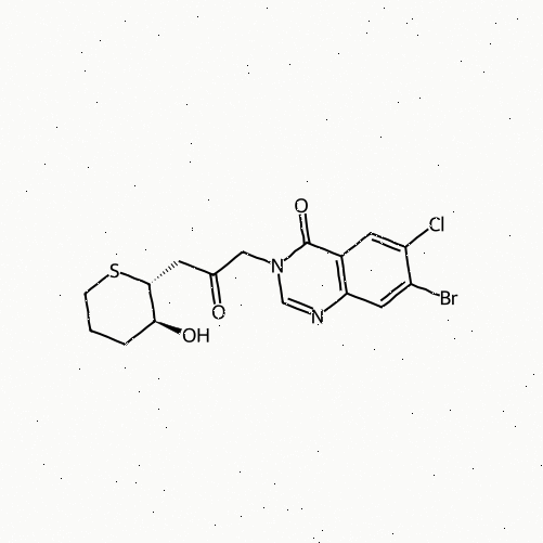 O=C(C[C@H]1SCCC[C@@H]1O)Cn1cnc2cc(Br)c(Cl)cc2c1=O